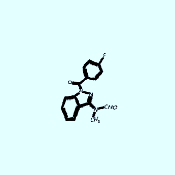 CN(C=O)c1nn(C(=O)c2ccc(F)cc2)c2ccccc12